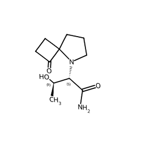 C[C@@H](O)[C@@H](C(N)=O)N1CCCC12CCC2=O